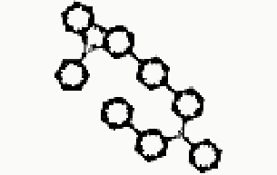 c1ccc(-c2cccc(N(c3ccccc3)c3cccc(-c4ccc(-c5ccc6c7ccccc7n(-c7ccccc7)c6c5)cc4)c3)c2)cc1